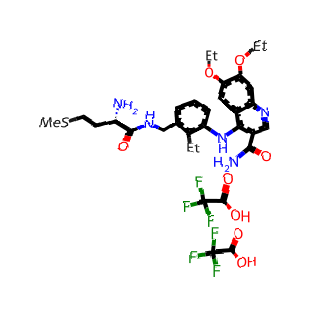 CCOc1cc2ncc(C(N)=O)c(Nc3cccc(CNC(=O)[C@@H](N)CCSC)c3CC)c2cc1OCC.O=C(O)C(F)(F)F.O=C(O)C(F)(F)F